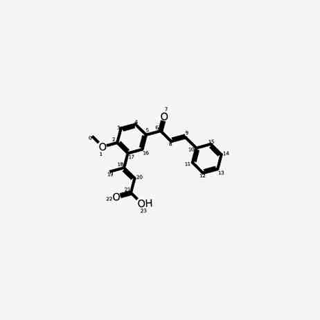 COc1ccc(C(=O)C=Cc2ccccc2)cc1C(C)=CC(=O)O